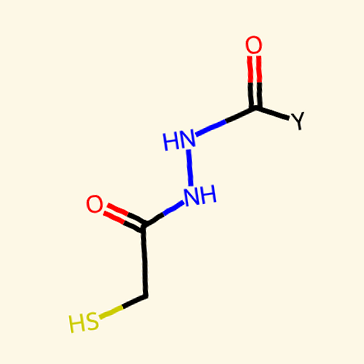 O=[C]([Y])NNC(=O)CS